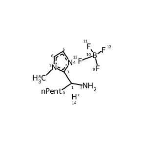 CCCCCC(N)c1nccn1C.F[B-](F)(F)F.[H+]